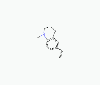 C=Cc1ccc2c(c1)CCCN2C